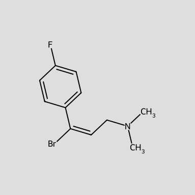 CN(C)C/C=C(/Br)c1ccc(F)cc1